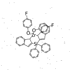 Fc1ccc([O][Zr]2([O]c3ccc(F)cc3)[CH]3C(=Cc4ccccc43)[Si](c3ccccc3)(c3ccccc3)C3=Cc4ccccc4[CH]32)cc1